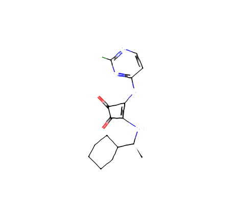 C[C@H](Nc1c(Nc2ccnc(Cl)n2)c(=O)c1=O)C1CCCCC1